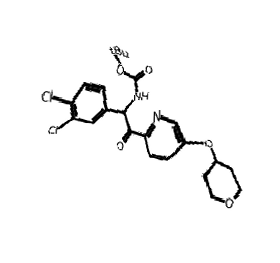 CC(C)(C)OC(=O)NC(C(=O)c1ccc(OC2CCOCC2)cn1)c1ccc(Cl)c(Cl)c1